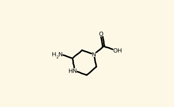 NC1CN(C(=O)O)CCN1